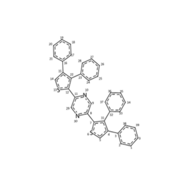 c1ccc(-c2csc(-c3cnc(-c4scc(-c5ccccc5)c4-c4ccccc4)cn3)c2-c2ccccc2)cc1